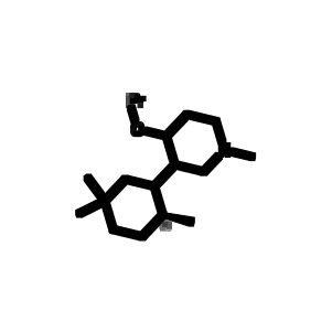 CC(C)OC1CCN(C)CC1C1CC(C)(C)CC[C@@H]1C